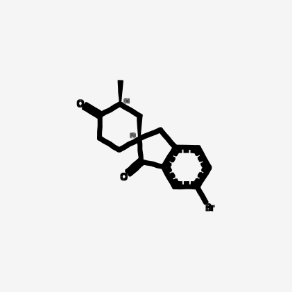 C[C@H]1C[C@@]2(CCC1=O)Cc1ccc(Br)cc1C2=O